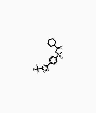 CS(=O)(=NC(=O)C1CCCCC1)c1ccc(-c2noc(C(F)(F)F)n2)cc1